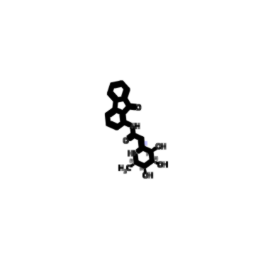 C[C@@H]1N/C(=C\C(=O)Nc2cccc3c2C(=O)c2ccccc2-3)[C@@H](O)[C@H](O)[C@@H]1O